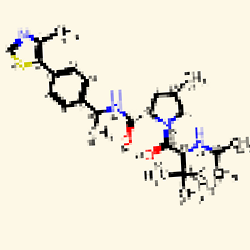 Cc1ncsc1-c1ccc([C@H](C)NC(=O)[C@@H]2C[C@@H](C)CN2C(=O)[C@@H](NC(C)C)C(C)(C)C)cc1